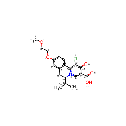 COCCOc1ccc2c(c1)CC(C(C)C)n1cc(C(=O)O)c(=O)c(Cl)c1-2